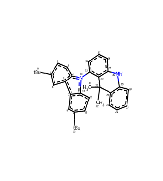 CC(C)(C)c1ccc2c(c1)c1cc(C(C)(C)C)ccc1n2-c1cccc2c1C(C)(C)c1ccccc1N2